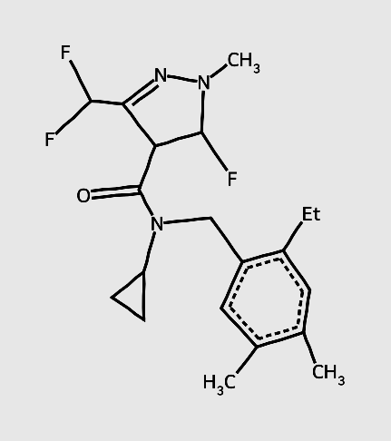 CCc1cc(C)c(C)cc1CN(C(=O)C1C(C(F)F)=NN(C)C1F)C1CC1